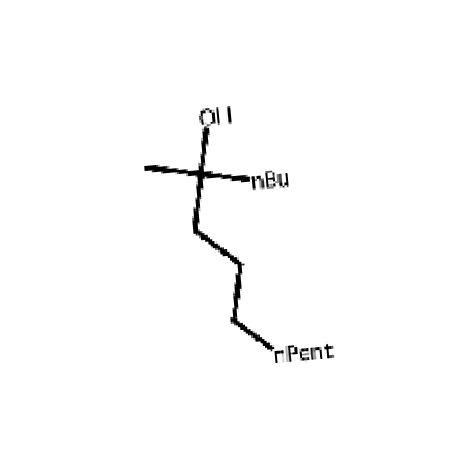 CCCCCCCCC(C)(O)CCCC